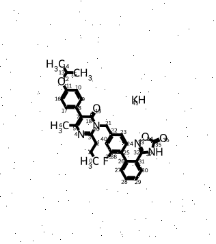 CCCc1nc(C)c(-c2ccc(OC(C)C)cc2)c(=O)n1Cc1ccc(-c2ccccc2-c2noc(=O)[nH]2)c(F)c1.[KH]